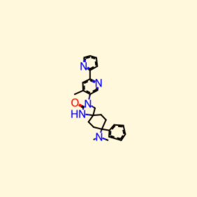 Cc1cc(-c2ccccn2)ncc1N1CC2(CCC(c3ccccc3)(N(C)C)CC2)NC1=O